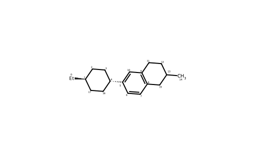 CC[C@H]1CC[C@H](c2ccc3c(c2)CCC(C)C3)CC1